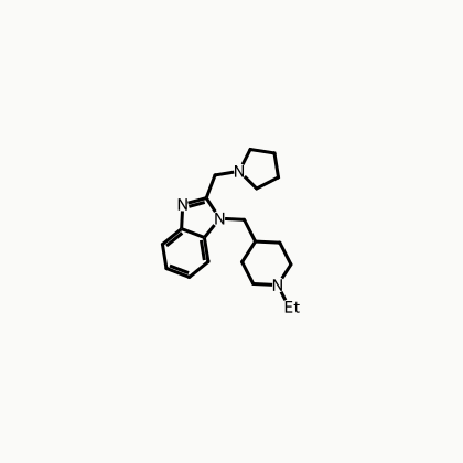 CCN1CCC(Cn2c(CN3CCCC3)nc3ccccc32)CC1